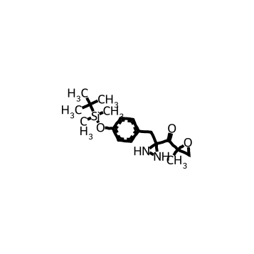 CC1(C(=O)C2(Cc3ccc(O[Si](C)(C)C(C)(C)C)cc3)NN2)CO1